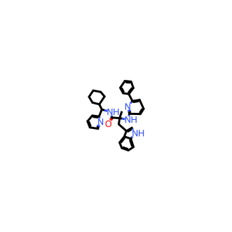 CC(Cc1c[nH]c2ccccc12)(Nc1cccc(-c2ccccc2)n1)C(=O)NC(c1ccccn1)C1CCCCC1